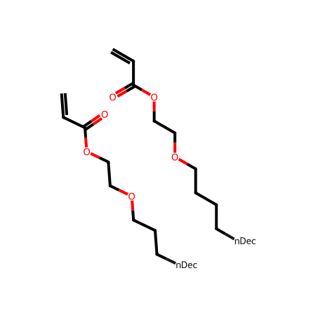 C=CC(=O)OCCOCCCCCCCCCCCCC.C=CC(=O)OCCOCCCCCCCCCCCCCC